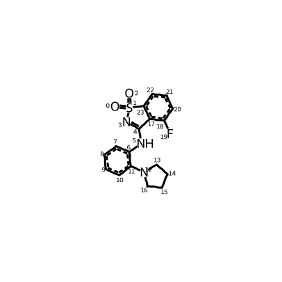 O=S1(=O)N=C(Nc2ccccc2N2CCCC2)c2c(F)cccc21